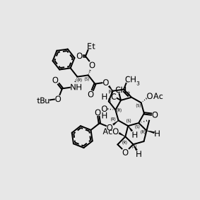 CCC(=O)O[C@H](C(=O)O[C@@H]1C[C@]2(O)[C@H](OC(=O)c3ccccc3)[C@H]3[C@@]4(OC(C)=O)CO[C@H]4C[C@H]4C[C@]43C(=O)[C@@H](OC(C)=O)C(=C1C)C2(C)C)[C@H](NC(=O)OC(C)(C)C)c1ccccc1